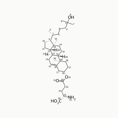 C[C@H](CCCC(C)(C)O)[C@H]1CC[C@H]2[C@@H]3CC=C4C[C@@H](OC(=O)CC[C@H](N)C(=O)O)CC[C@]4(C)[C@H]3CC[C@]12C